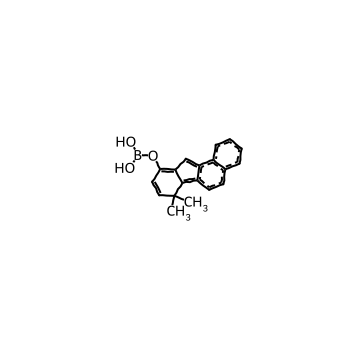 CC1(C)C=CC(OB(O)O)=C2C=c3c(ccc4ccccc34)=C21